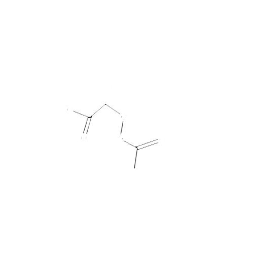 CC(=O)OO[C@@H](C)C(=O)O